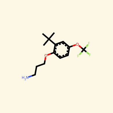 CC(C)(C)c1cc(OC(F)(F)F)ccc1OCCCN